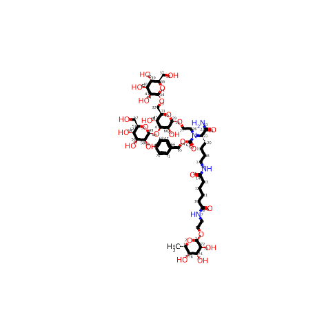 C[C@@H]1O[C@@H](OCCNC(=O)CCCCC(=O)NCCCC[C@@H](C(N)=O)N(CCO[C@H]2O[C@H](CO[C@H]3O[C@H](CO)[C@@H](O)[C@H](O)[C@@H]3O)[C@@H](O)[C@H](O[C@H]3O[C@H](CO)[C@@H](O)[C@H](O)[C@@H]3O)[C@@H]2O)C(=O)OCc2ccccc2)[C@@H](O)[C@H](O)[C@@H]1O